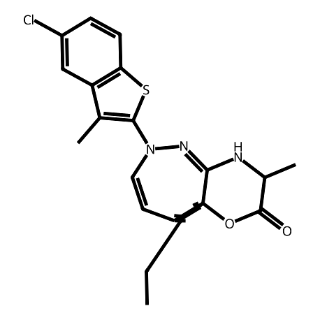 CCC1=C2C=CN(c3sc4ccc(Cl)cc4c3C)N=C3NC(C)C(=O)OC32C=CC1